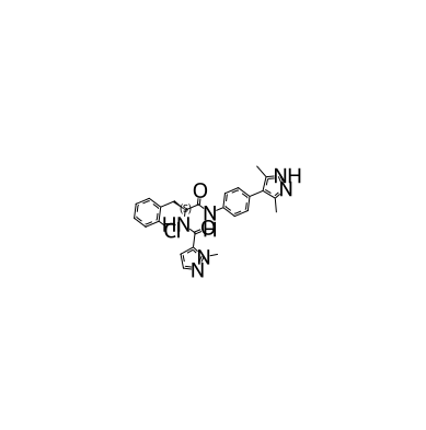 Cc1n[nH]c(C)c1-c1ccc(NC(=O)[C@H](Cc2ccccc2Cl)NC(=O)c2ccnn2C)cc1